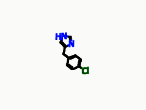 Clc1ccc(Cc2c[nH]cn2)cc1